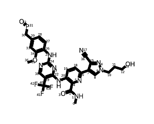 CNC(=O)c1nc(-c2cn(CCCO)nc2C#N)ccc1Nc1nc(Nc2ccc(CP=O)cc2OC)ncc1C(F)(F)F